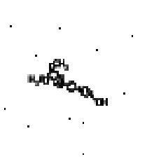 COc1cc(OC)c2cnc(-c3ccc(N4CCN(CCO)CC4)cc3)nc2c1